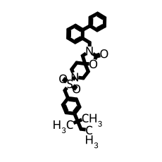 CCC(C)(C)c1ccc(CS(=O)(=O)N2CCC3(CC2)CN(Cc2ccccc2-c2ccccc2)C(=O)O3)cc1